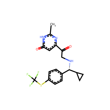 Cc1nc(C(=O)CN[C@@H](c2ccc(SC(F)(F)F)cc2)C2CC2)cc(=O)[nH]1